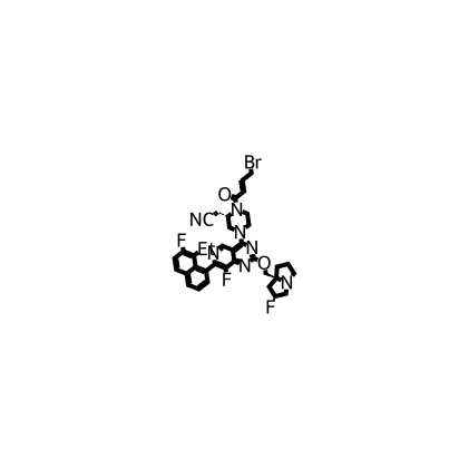 CCc1c(F)ccc2cccc(-c3ncc4c(N5CCN(C(=O)/C=C/CBr)[C@@H](CC#N)C5)nc(OC[C@@]56CCCN5C[C@H](F)C6)nc4c3F)c12